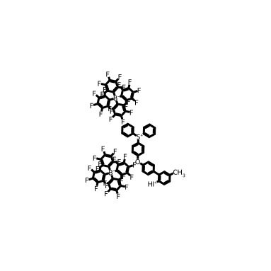 Cc1ccc([IH+])c(-c2ccc(Oc3ccc([S+](c4ccccc4)c4ccccc4)cc3)cc2)c1.Fc1c(F)c(F)c([B-](c2c(F)c(F)c(F)c(F)c2F)(c2c(F)c(F)c(F)c(F)c2F)c2c(F)c(F)c(F)c(F)c2F)c(F)c1F.Fc1c(F)c(F)c([B-](c2c(F)c(F)c(F)c(F)c2F)(c2c(F)c(F)c(F)c(F)c2F)c2c(F)c(F)c(F)c(F)c2F)c(F)c1F